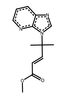 COC(=O)C=CC(C)(C)n1cnc2cccnc21